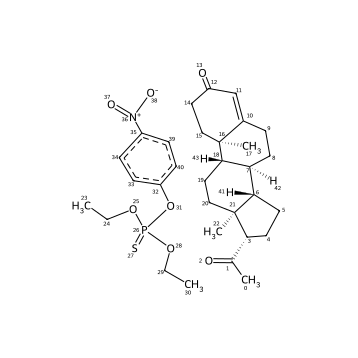 CC(=O)[C@H]1CC[C@H]2[C@@H]3CCC4=CC(=O)CC[C@]4(C)[C@H]3CC[C@]12C.CCOP(=S)(OCC)Oc1ccc([N+](=O)[O-])cc1